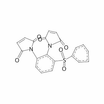 O=C1C=CC(=O)N1c1cccc(S(=O)(=O)c2ccccc2)c1N1C(=O)C=CC1=O